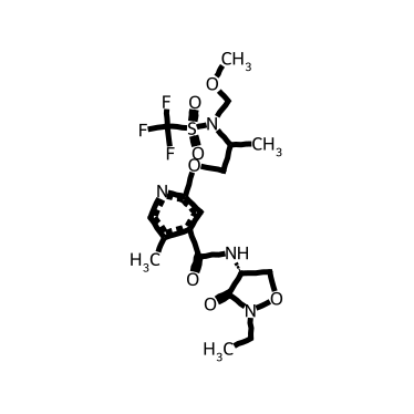 CCN1OC[C@@H](NC(=O)c2cc(OCC(C)N(COC)S(=O)(=O)C(F)(F)F)ncc2C)C1=O